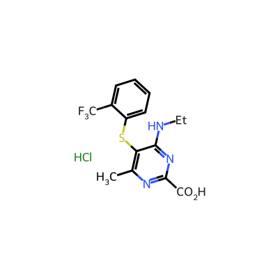 CCNc1nc(C(=O)O)nc(C)c1Sc1ccccc1C(F)(F)F.Cl